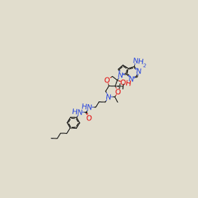 CCCCc1ccc(NC(=O)NCCCN2CC3OC[C@](O)(n4ccc5c(N)ncnc54)[C@@H]3OC2C)cc1